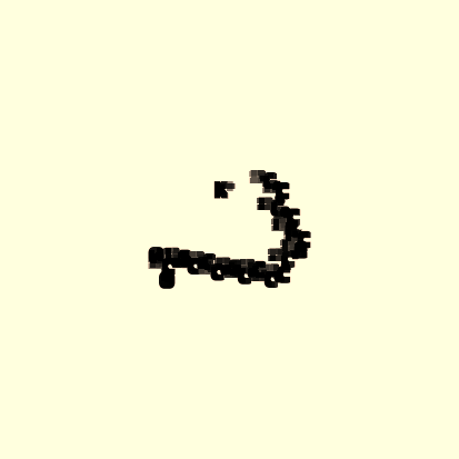 [13CH3][13CH2][13CH2][13CH2][13CH2]/[13CH]=[13CH]\[13CH2]/[13CH]=[13CH]\[13CH2][13CH2][13CH2][13CH2][13CH2][13CH2][13CH2][13C](=O)[O-].[K+]